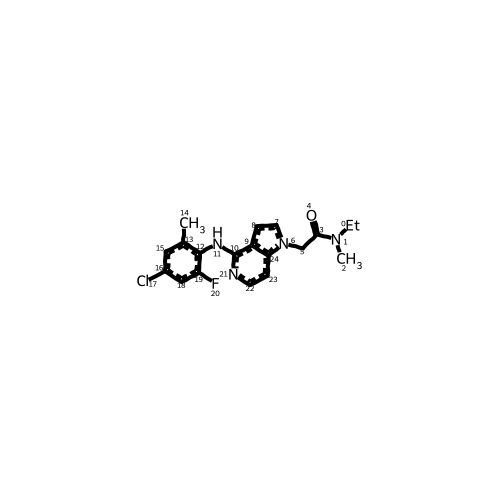 CCN(C)C(=O)Cn1ccc2c(Nc3c(C)cc(Cl)cc3F)nccc21